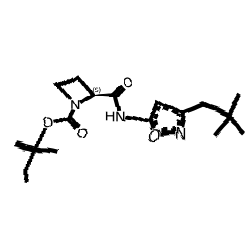 CC(C)(C)Cc1cc(NC(=O)[C@@H]2CCN2C(=O)OC(C)(C)C)on1